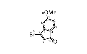 COc1ccc2c(c1)C(Br)=CC2=O